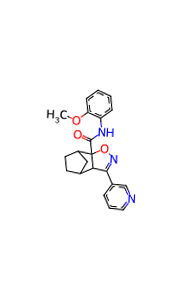 COc1ccccc1NC(=O)C12ON=C(c3cccnc3)C1C1CCC2C1